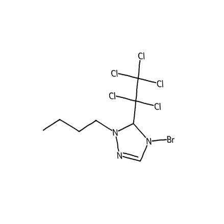 CCCCN1N=CN(Br)C1C(Cl)(Cl)C(Cl)(Cl)Cl